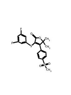 CC1(C)OC(=O)C(Sc2cc(F)cc(F)c2)=C1c1ccc(S(C)(=O)=O)cc1